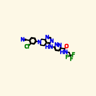 N#Cc1ccc(N2CCc3c(ncnc3Nc3ccc(C(=O)NCC(F)(F)F)nn3)C2)cc1Cl